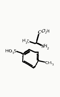 CC(N)C(=O)O.Cc1ccc(S(=O)(=O)O)cc1